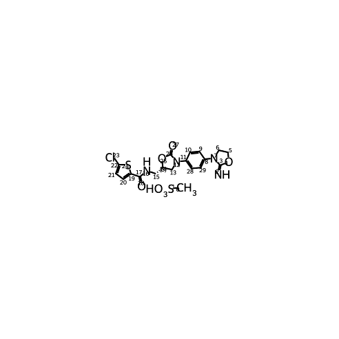 CS(=O)(=O)O.N=C1OCCN1c1ccc(N2C[C@H](CNC(=O)c3ccc(Cl)s3)OC2=O)cc1